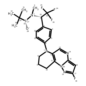 CN([C@@H](c1ccc(N2CCCc3c2cnc2cc(F)nn32)cc1)C(F)(F)F)[S@+]([O-])C(C)(C)C